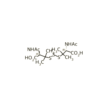 CC(=O)N[C@H](C(=O)O)C(C)(C)SSSC(C)(C)[C@H](NC(C)=O)C(=O)O